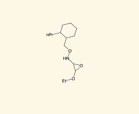 CCCC1CCCCC1CONC1OC1OCC